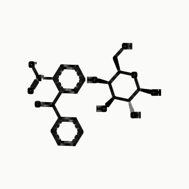 O=C(c1ccccc1)c1ccccc1[N+](=O)[O-].OC[C@H]1O[C@@H](O)[C@H](O)[C@@H](O)[C@H]1O